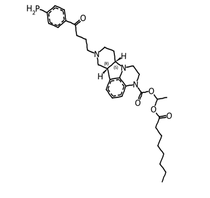 CCCCCCCC(=O)OC(C)OC(=O)N1CCN2c3c(cccc31)[C@@H]1CN(CCCC(=O)c3ccc(P)cc3)CC[C@@H]12